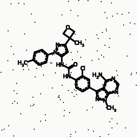 Cc1ccc(-n2nc(C3(C)COC3)cc2NC(=O)Nc2ccc(-c3nn(C)c4ncnc(N)c34)cc2Cl)cc1